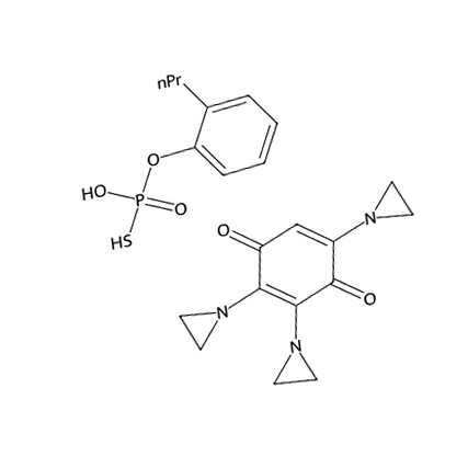 CCCc1ccccc1OP(=O)(O)S.O=C1C=C(N2CC2)C(=O)C(N2CC2)=C1N1CC1